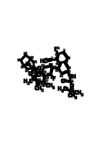 C#Cc1c(F)ccc2cc(NC(=O)OC(C)(C)C)cc(-c3ncc4c(N5CC6CCC(C5)N6C(=O)OC(C)(C)C)nc(C)c(C)c4c3F)c12